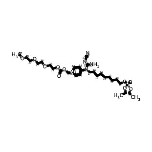 CCOP(=O)(OCC)OCCCCCCCCCN(C(N)=NC#N)c1cc[n+](COC(=O)OCCOCCOCCOC)cc1